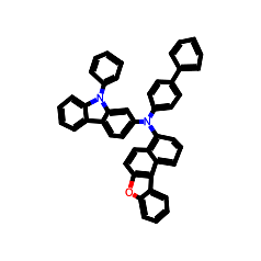 c1ccc(-c2ccc(N(c3ccc4c5ccccc5n(-c5ccccc5)c4c3)c3cccc4c3ccc3oc5ccccc5c34)cc2)cc1